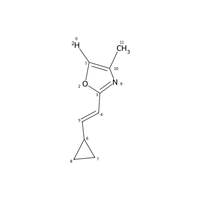 [2H]c1oc(/C=C/C2CC2)nc1C